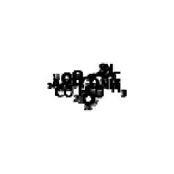 Cc1nsc(C#Cc2cc3cc(C4(C(=O)O)CC4)oc3o2)c1NC(=O)OCc1ccccc1